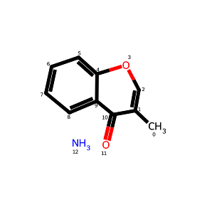 Cc1coc2ccccc2c1=O.N